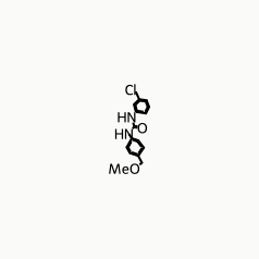 COCc1ccc(NC(=O)Nc2cccc(Cl)c2)cc1